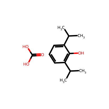 CC(C)c1cccc(C(C)C)c1O.O=C(O)O